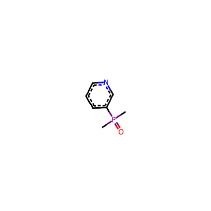 CP(C)(=O)c1cccnc1